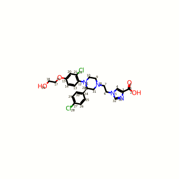 O=C(O)c1cn(CCN2CCN(c3ccc(OCCO)cc3Cl)[C@H](c3ccc(Cl)cc3)C2)cn1